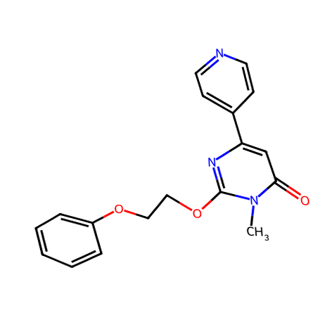 Cn1c(OCCOc2ccccc2)nc(-c2ccncc2)cc1=O